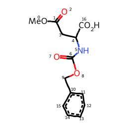 COC(=O)CC(NC(=O)OCc1ccccc1)C(=O)O